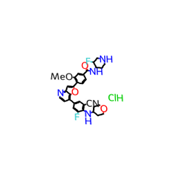 COc1cc(C(=O)NC2CCNCC2F)ccc1-c1cc2nccc(-c3cc(F)c(NC4CCOCC4)c(C#N)c3)c2o1.Cl